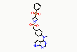 CN(c1ncnc2[nH]ccc12)C1CCC(CS(=O)(=O)N2CC(S(=O)(=O)c3ccccc3)C2)CC1